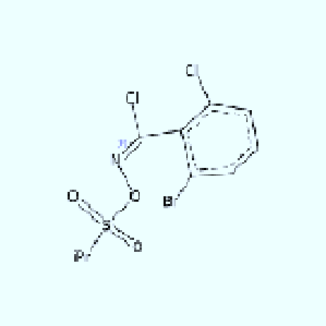 CC(C)S(=O)(=O)O/N=C(/Cl)c1c(Cl)cccc1Br